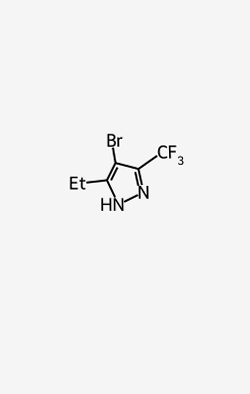 CCc1[nH]nc(C(F)(F)F)c1Br